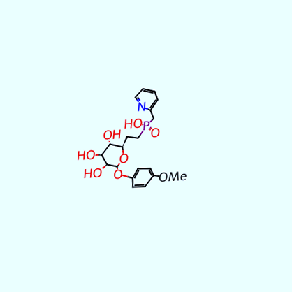 COc1ccc(OC2O[C@H](CCP(=O)(O)Cc3ccccn3)[C@@H](O)[C@H](O)[C@@H]2O)cc1